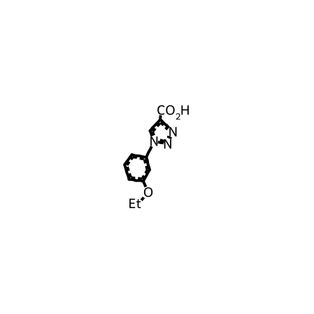 CCOc1cccc(-n2cc(C(=O)O)nn2)c1